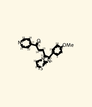 COc1ccc(-c2nc3sccn3c2C=CC(=O)c2ccncc2)cc1